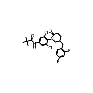 CC(C)(C)C(=O)Nc1cc(Cl)c(N2CC(Cc3ccc(F)cc3F)CCC2=O)c(Cl)c1